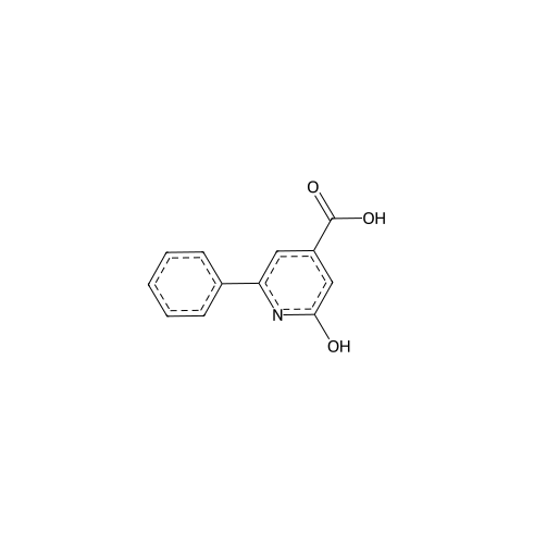 O=C(O)c1cc(O)nc(-c2ccccc2)c1